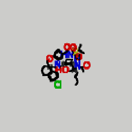 CCCC[C@@](CO)(NC(C)=O)[C@@H]1CC[C@H]1CN1C[C@@]2(CCCc3cc(Cl)ccc32)COc2ccc(C(=O)NS(=O)(=O)C(C)C)cc21